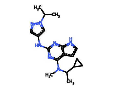 CC(C1CC1)N(C)c1nc(Nc2cnn(C(C)C)c2)nc2[nH]ccc12